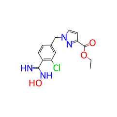 CCOC(=O)c1ccn(Cc2ccc(C(=N)NO)c(Cl)c2)n1